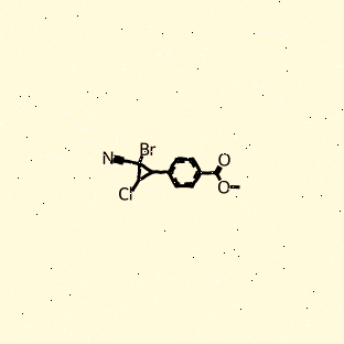 COC(=O)c1ccc(C2C(Cl)C2(Br)C#N)cc1